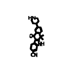 CC1(C)c2ccc(C3CCNCC3)cc2C(=O)c2c1[nH]c1cc(C#N)ccc21